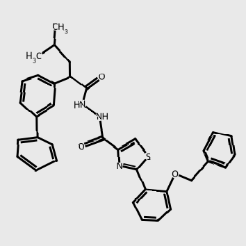 CC(C)CC(C(=O)NNC(=O)c1csc(-c2ccccc2OCc2ccccc2)n1)c1cccc(-c2ccccc2)c1